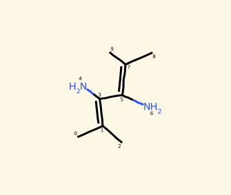 CC(C)=C(N)C(N)=C(C)C